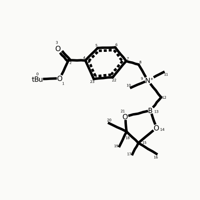 CC(C)(C)OC(=O)c1ccc(C[N+](C)(C)CB2OC(C)(C)C(C)(C)O2)cc1